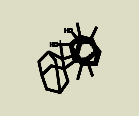 Cc1ccc(C)c(C23CC4CC(CC(C4)C2(I)c2c(C)ccc(C)c2O)C3)c1O